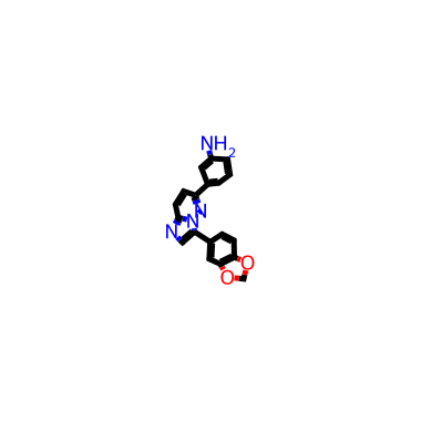 Nc1cccc(-c2ccc3ncc(-c4ccc5c(c4)OCO5)n3n2)c1